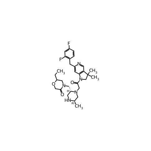 CCC1CN(C[C@H]2CN[C@H](C)CN2CC(=O)N2CC(C)(C)c3cnc(Cc4ccc(F)cc4F)cc32)C(=O)CO1